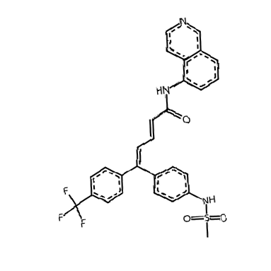 CS(=O)(=O)Nc1ccc(/C(=C\C=C\C(=O)Nc2cccc3cnccc23)c2ccc(C(F)(F)F)cc2)cc1